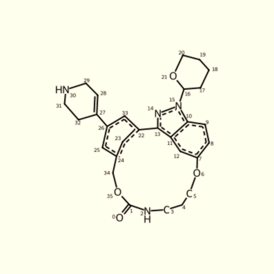 O=C1NCCCOc2ccc3c(c2)c(nn3C2CCCCO2)-c2cc(cc(C3=CCNCC3)c2)CO1